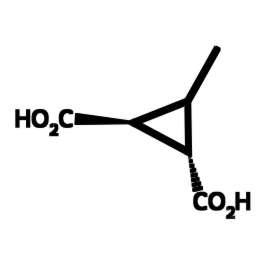 CC1[C@H](C(=O)O)[C@H]1C(=O)O